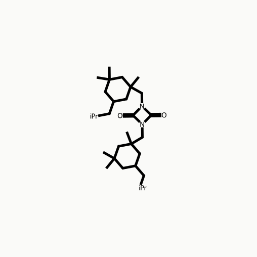 CC(C)CC1CC(C)(C)CC(C)(CN2C(=O)N(CC3(C)CC(CC(C)C)CC(C)(C)C3)C2=O)C1